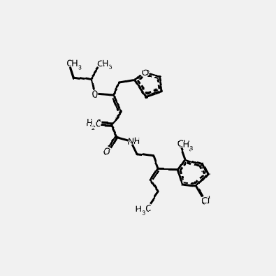 C=C(/C=C(/Cc1ccco1)OC(C)CC)C(=O)NCC/C(=C/CC)c1cc(Cl)ccc1C